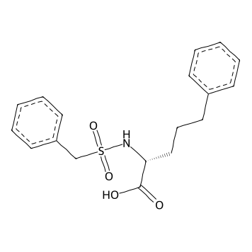 O=C(O)[C@@H](CCCc1ccccc1)NS(=O)(=O)Cc1ccccc1